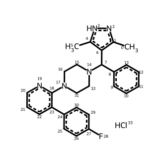 Cc1n[nH]c(C)c1C(c1ccccc1)N1CCN(c2ncccc2-c2ccc(F)cc2)CC1.Cl